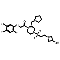 O=C(COc1cc(Cl)c(Cl)cc1Cl)N1CCN(S(=O)(=O)CCN2CC(O)C2)C[C@@H]1CN1CCCC1